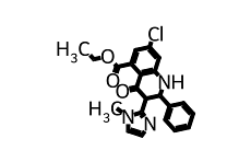 CCOC(=O)c1cc(Cl)cc2c1C(=O)C(c1nccn1C)C(c1ccccc1)N2